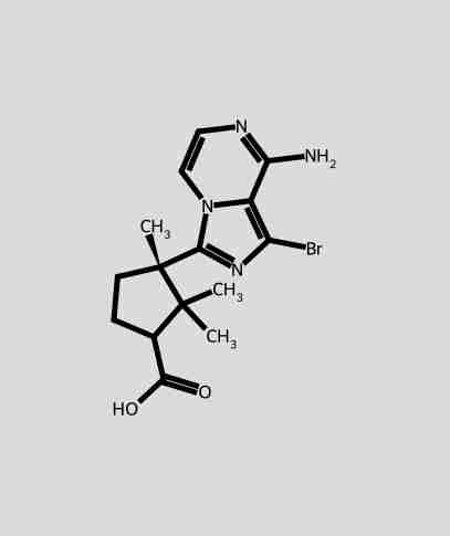 CC1(C)C(C(=O)O)CC[C@]1(C)c1nc(Br)c2c(N)nccn12